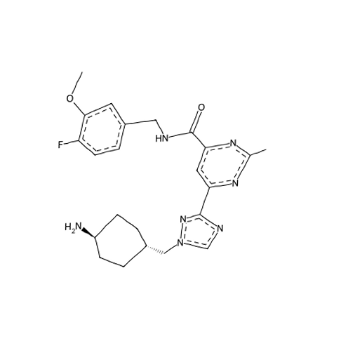 COc1cc(CNC(=O)c2cc(-c3ncn(C[C@H]4CC[C@H](N)CC4)n3)nc(C)n2)ccc1F